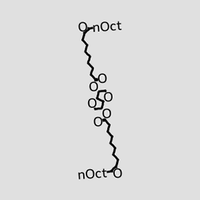 CCCCCCCCC1OC1CCCCCCCC(=O)OC1COC2C(OC(=O)CCCCCCCC3OC3CCCCCCCC)COC12